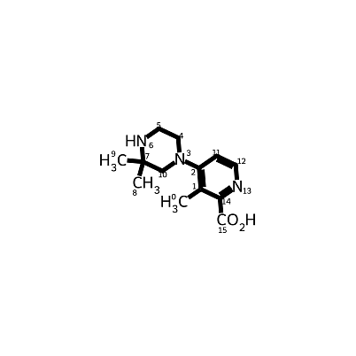 Cc1c(N2CCNC(C)(C)C2)ccnc1C(=O)O